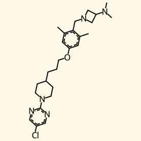 Cc1cc(OCCCC2CCN(c3ncc(Cl)cn3)CC2)cc(C)c1CN1CC(N(C)C)C1